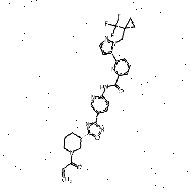 C=CC(=O)N1CCC[C@H](c2nc(-c3ccc(NC(=O)c4cccc(-c5ccnn5CC5(C(F)(F)F)CC5)n4)nc3)no2)C1